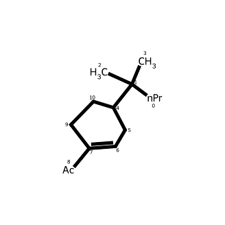 CCCC(C)(C)C1CC=C(C(C)=O)CC1